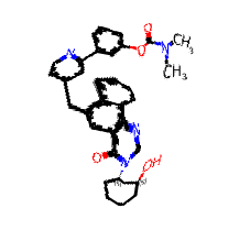 CN(C)C(=O)Oc1cccc(-c2cc(Cc3cc4c(=O)n([C@H]5CCCC[C@@H]5O)cnc4c4ccccc34)ccn2)c1